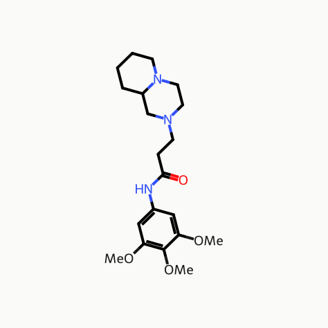 COc1cc(NC(=O)CCN2CCN3CCCCC3C2)cc(OC)c1OC